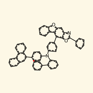 c1ccc(-c2nc3cc4oc5ccccc5c4c(-c4ccc(N(c5ccc(-c6cc7ccccc7c7ccccc67)cc5)c5ccccc5-c5ccccc5)cc4)c3o2)cc1